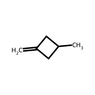 C=C1CC(C)C1